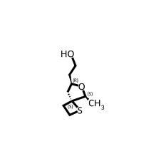 C[C@@H]1O[C@H](CCO)C[C@]12CCS2